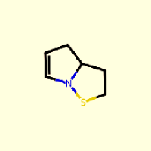 C1=CN2SCCC2C1